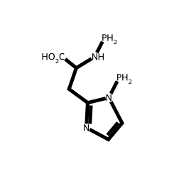 O=C(O)C(Cc1nccn1P)NP